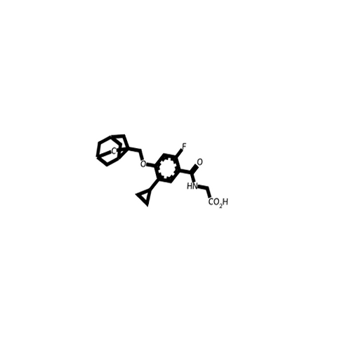 O=C(O)CNC(=O)c1cc(C2CC2)c(OCC23CC4CC(CC2C4)C3)cc1F